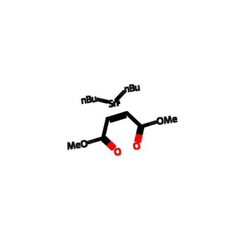 CCC[CH2][Sn][CH2]CCC.COC(=O)/C=C\C(=O)OC